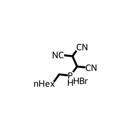 Br.CCCCCCCPC(C#N)C(C#N)C#N